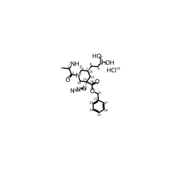 CC(N)C(=O)N1C[C@@H](CCB(O)O)C[C@@](N=[N+]=[N-])(C(=O)OCc2ccccc2)C1.Cl